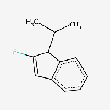 CC(C)C1C(F)=Cc2ccccc21